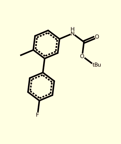 Cc1ccc(NC(=O)OC(C)(C)C)cc1-c1ccc(F)cc1